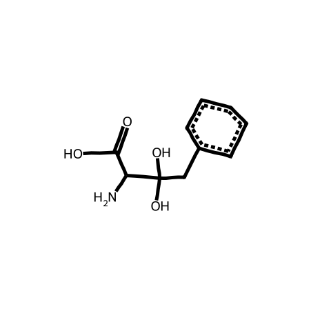 NC(C(=O)O)C(O)(O)Cc1ccccc1